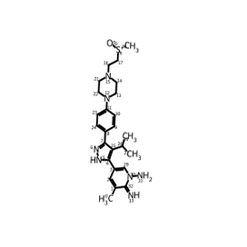 Cc1cc(-c2[nH]nc(-c3ccc(N4CCN(CC[S+](C)[O-])CC4)cc3)c2C(C)C)cn(N)c1=N